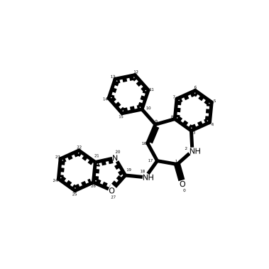 O=C1Nc2ccccc2C(c2ccccc2)=CC1Nc1nc2ccccc2o1